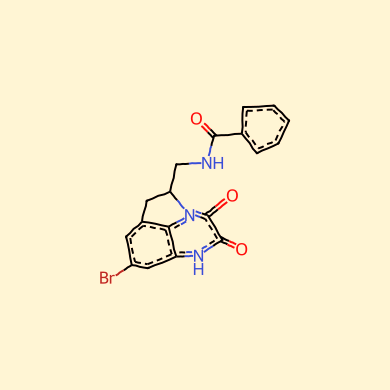 O=C(NCC1Cc2cc(Br)cc3[nH]c(=O)c(=O)n1c23)c1ccccc1